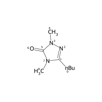 CCCCc1nn(C)c(=O)n1C